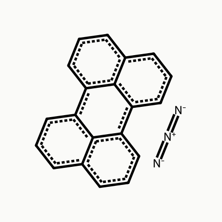 [N-]=[N+]=[N-].c1cc2cccc3c4cccc5cccc(c(c1)c23)c54